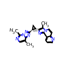 Cc1cnc(C)n2nc([C@H]3C[C@@H]3c3nc4c5cccnc5ccn4c3C)nc12